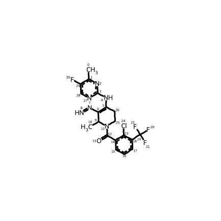 Cc1nc(NC2=C(N=N)C(C)N(C(=O)c3cccc(C(F)(F)F)c3Cl)CC2)ncc1F